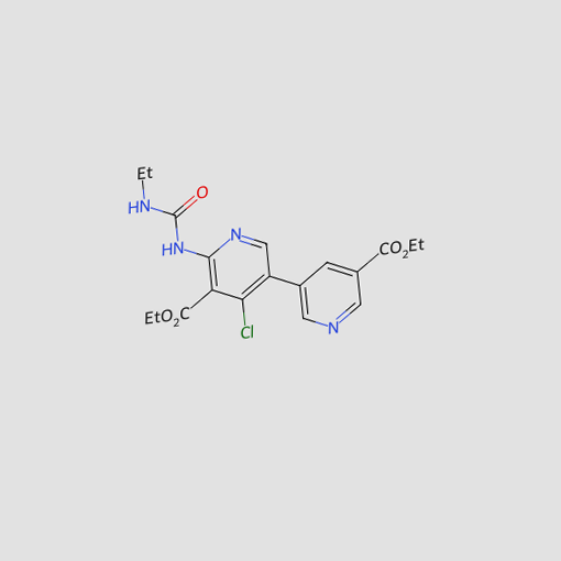 CCNC(=O)Nc1ncc(-c2cncc(C(=O)OCC)c2)c(Cl)c1C(=O)OCC